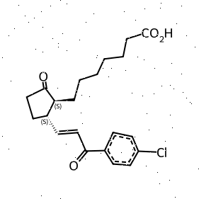 O=C(O)CCCCCC[C@@H]1C(=O)CC[C@H]1C=CC(=O)c1ccc(Cl)cc1